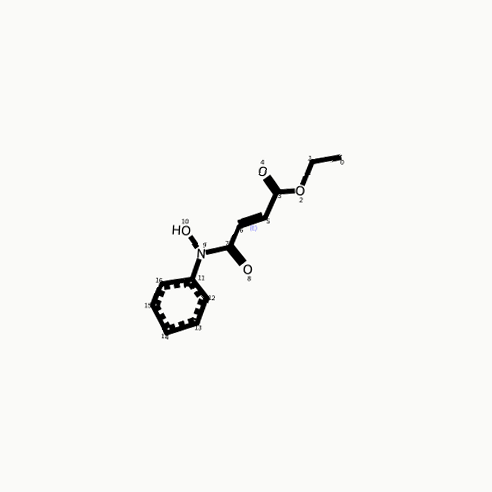 CCOC(=O)/C=C/C(=O)N(O)c1ccccc1